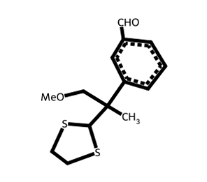 COCC(C)(c1cccc(C=O)c1)C1SCCS1